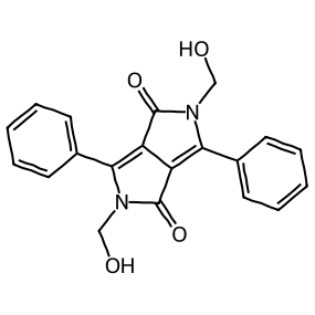 O=C1C2=C(c3ccccc3)N(CO)C(=O)C2=C(c2ccccc2)N1CO